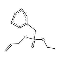 C=CCOP(=O)(Cc1ccccc1)OCC